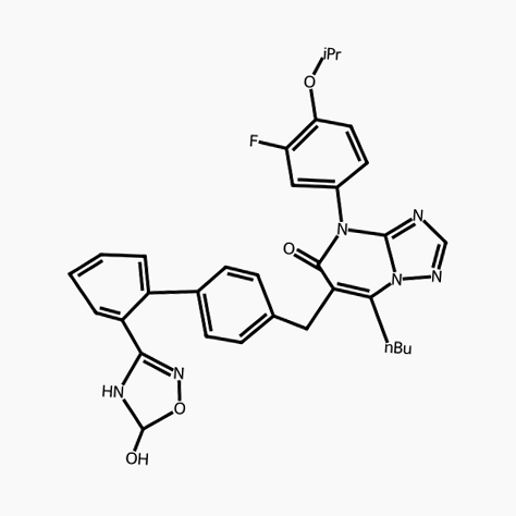 CCCCc1c(Cc2ccc(-c3ccccc3C3=NOC(O)N3)cc2)c(=O)n(-c2ccc(OC(C)C)c(F)c2)c2ncnn12